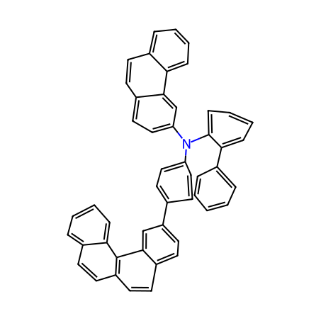 c1ccc(-c2ccccc2N(c2ccc(-c3ccc4ccc5ccc6ccccc6c5c4c3)cc2)c2ccc3ccc4ccccc4c3c2)cc1